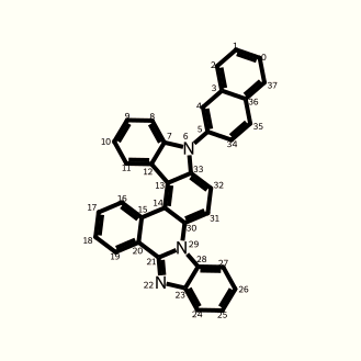 c1ccc2cc(-n3c4ccccc4c4c5c6ccccc6c6nc7ccccc7n6c5ccc43)ccc2c1